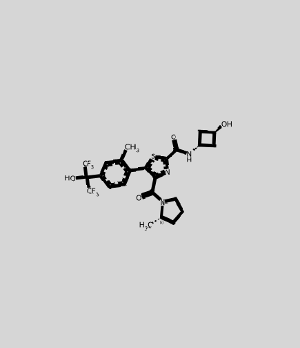 Cc1cc(C(O)(C(F)(F)F)C(F)(F)F)ccc1-c1sc(C(=O)N[C@H]2C[C@H](O)C2)nc1C(=O)N1CCC[C@@H]1C